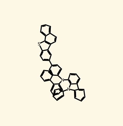 c1ccc(-c2ccccc2N(c2ccc(-c3ccc4sc5c6ccccc6ccc5c4c3)cc2)c2cccc3c4ccccc4n(-c4ccccc4)c23)cc1